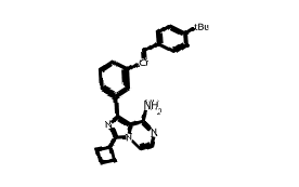 CC(C)(C)c1ccc(COc2cccc(-c3nc(C4CCC4)n4ccnc(N)c34)c2)cc1